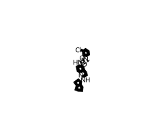 CN(c1cccc(Cl)c1)S(=O)(=O)Nc1ccc2nc(N[C@@H]3CCc4ccccc43)ccc2c1